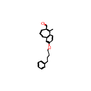 CC1=C(C=O)CCCc2cc(OCCCCc3ccccc3)ccc21